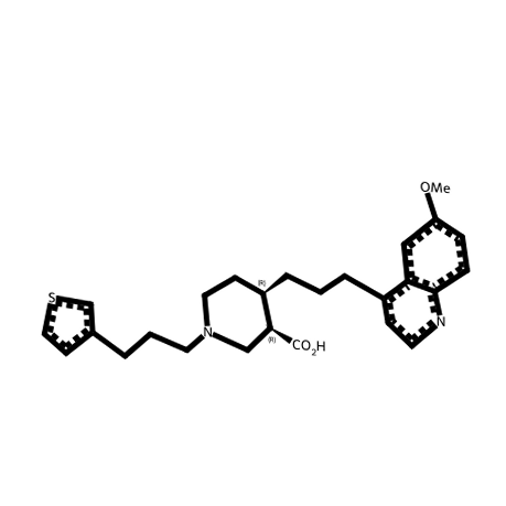 COc1ccc2nccc(CCC[C@@H]3CCN(CCCc4ccsc4)C[C@@H]3C(=O)O)c2c1